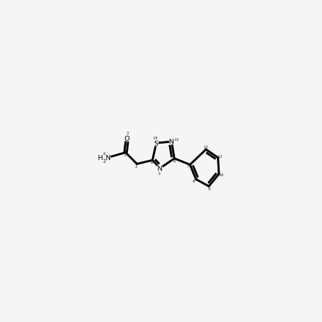 NC(=O)Cc1nc(-c2ccccc2)ns1